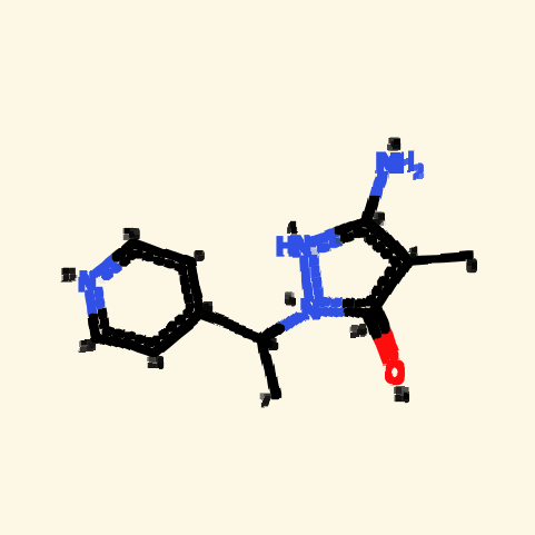 Cc1c(N)[nH]n(C(C)c2ccncc2)c1=O